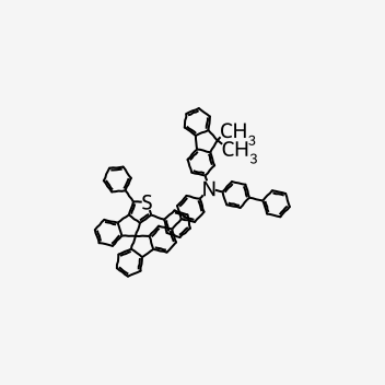 CC1(C)c2ccccc2-c2ccc(N(c3ccc(-c4ccccc4)cc3)c3ccc(-c4ccc5c(c4)C4(c6ccccc6-5)c5ccccc5-c5c(-c6ccccc6)sc(-c6ccccc6)c54)cc3)cc21